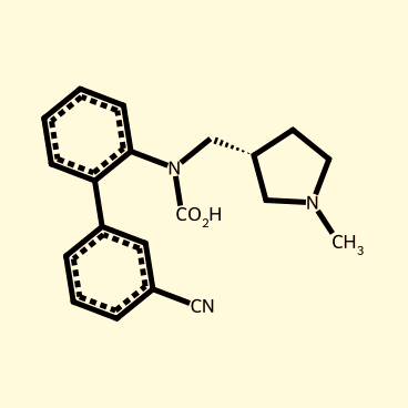 CN1CC[C@@H](CN(C(=O)O)c2ccccc2-c2cccc(C#N)c2)C1